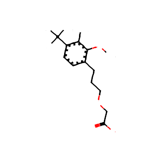 COc1c(CCCOCC(=O)O)ccc(C(C)(C)C)c1C